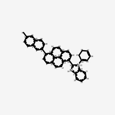 Cc1ccc2cc(-c3ccc4ccc5c(-c6nc7ccccc7n6C6=CC=CCC6)ccc6ccc3c4c65)ccc2c1